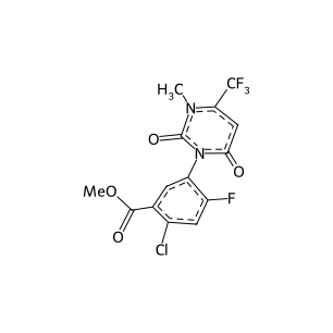 COC(=O)c1cc(-n2c(=O)cc(C(F)(F)F)n(C)c2=O)c(F)cc1Cl